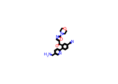 N#Cc1ccc(-c2ccc(CN)cn2)c(C(=O)c2cnc(N3CCOCC3)o2)c1